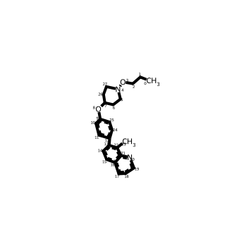 CCCON1CCC(Oc2ccc(-c3ccc4cccnc4c3C)cc2)CC1